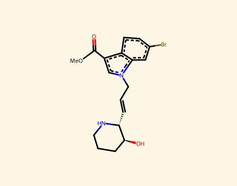 COC(=O)c1cn(C/C=C/[C@H]2NCCC[C@@H]2O)c2cc(Br)ccc12